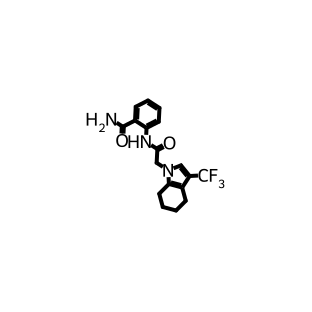 NC(=O)c1ccccc1NC(=O)Cn1cc(C(F)(F)F)c2c1CCCC2